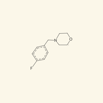 Fc1ccc(CN2C[CH]OCC2)cc1